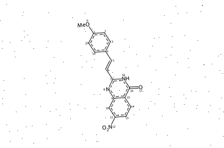 COc1ccc(C=Cc2nc3cc([N+](=O)[O-])ccc3c(=O)[nH]2)cc1